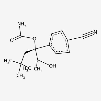 C[C@@H](O)[C@](CC(C)(C)C)(OC(N)=O)c1ccc(C#N)cc1